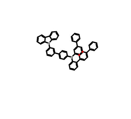 c1ccc(-c2ccc(-c3ccccc3N(c3ccc(-c4cccc(-n5c6ccccc6c6ccccc65)c4)cc3)c3cccc(-c4ccccc4)c3)cc2)cc1